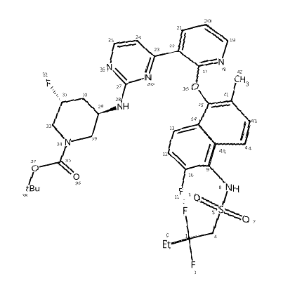 CCC(F)(F)CS(=O)(=O)Nc1c(F)ccc2c(Oc3ncccc3-c3ccnc(N[C@@H]4C[C@@H](F)CN(C(=O)OC(C)(C)C)C4)n3)c(C)ccc12